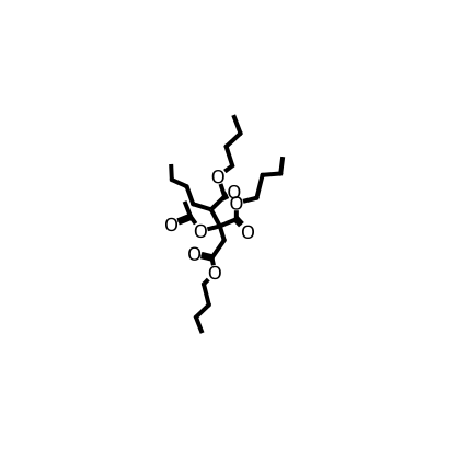 CCCCOC(=O)CC(OC(C)=O)(C(=O)OCCCC)C(CCCC)C(=O)OCCCC